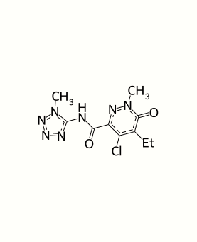 CCc1c(Cl)c(C(=O)Nc2nnnn2C)nn(C)c1=O